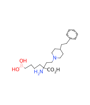 NC(CCCCB(O)O)(CCN1CCC(CCc2ccccc2)CC1)C(=O)O